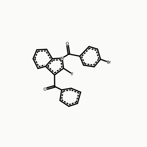 O=C(c1ccccc1)c1c(F)n(C(=O)c2ccc(Br)cc2)c2ccccc12